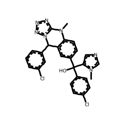 CN1c2ccc(C(O)(c3ccc(Cl)cc3)c3cncn3C)cc2C(c2cccc(Cl)c2)n2nnnc21